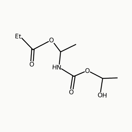 CCC(=O)OC(C)NC(=O)OC(C)O